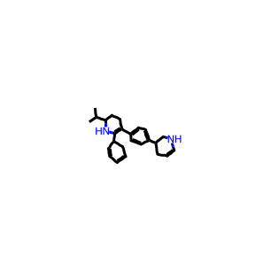 CC(C)C1CCC(c2ccc(C3CC=CNC3)cc2)=C(C2C=CC=CC2)N1